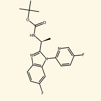 C[C@H](NC(=O)OC(C)(C)C)c1nc2ccc(F)cc2n1-c1ccc(F)cn1